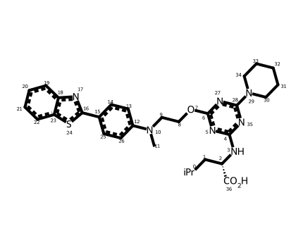 CC(C)C[C@H](Nc1nc(OCCN(C)c2ccc(-c3nc4ccccc4s3)cc2)nc(N2CCCCC2)n1)C(=O)O